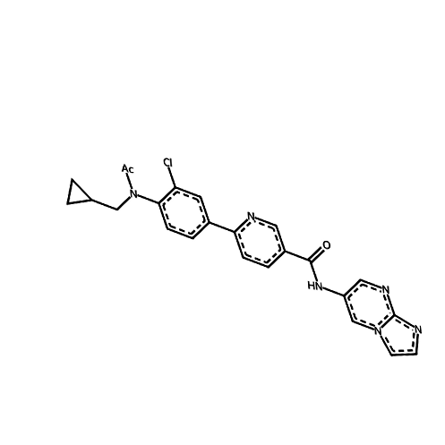 CC(=O)N(CC1CC1)c1ccc(-c2ccc(C(=O)Nc3cnc4nccn4c3)cn2)cc1Cl